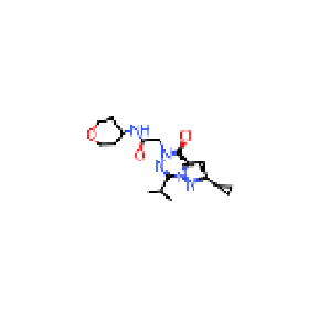 CC(C)c1nn(CC(=O)NC2CCOCC2)c(=O)c2cc(C3CC3)nn12